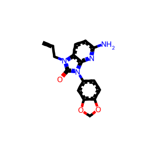 C=CCn1c(=O)n(-c2ccc3c(c2)OCO3)c2nc(N)ccc21